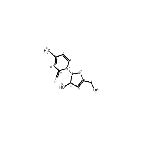 Nc1ccn([C@@H]2OC(CO)=CC2O)c(=O)n1